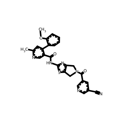 COc1ccccc1-c1cc(C)ncc1C(=O)Nc1nc2c(s1)CN(C(=O)c1cncc(C#N)c1)C2